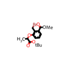 COC(=O)c1cccc(OC(C)C(=O)OC(C)(C)C)c1CBr